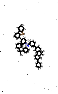 CC1(C)c2ccc(-c3cccc(N(c4ccc(-c5cccc6c5sc5ccccc56)cc4)c4cccc5c4-c4ccccc4C5(C)C)c3)cc2-c2ccc(-c3ccccc3)cc21